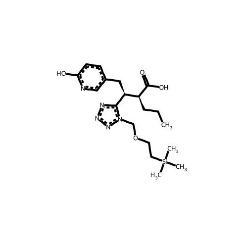 CCC[C@H](C(=O)O)[C@H](Cc1ccc(O)nc1)c1nnnn1COCC[Si](C)(C)C